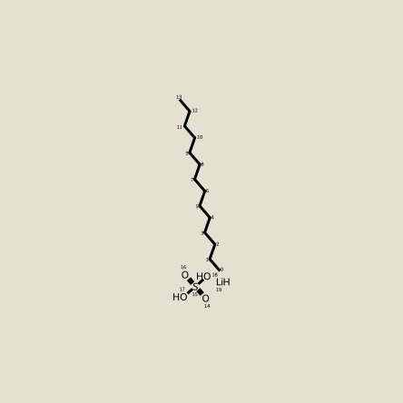 CCCCCCCCCCCCCC.O=S(=O)(O)O.[LiH]